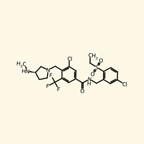 CCS(=O)(=O)c1ccc(Cl)cc1CNC(=O)c1cc(Cl)c(CN2CC[C@@H](NC)C2)c(C(F)(F)F)c1